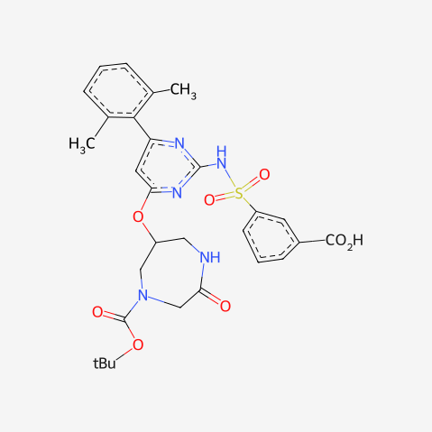 Cc1cccc(C)c1-c1cc(OC2CNC(=O)CN(C(=O)OC(C)(C)C)C2)nc(NS(=O)(=O)c2cccc(C(=O)O)c2)n1